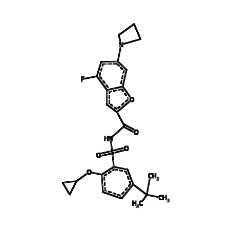 CC(C)(C)c1ccc(OC2CC2)c(S(=O)(=O)NC(=O)c2cc3c(F)cc(N4CCC4)cc3o2)c1